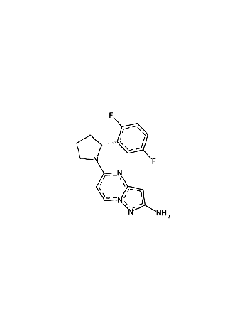 Nc1cc2nc(N3CCC[C@@H]3c3cc(F)ccc3F)ccn2n1